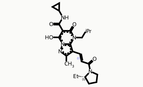 CC[C@H]1CCCN1C(=O)/C=C/c1c(C)nn2c(O)c(C(=O)NC3CC3)c(=O)n(CC(C)C)c12